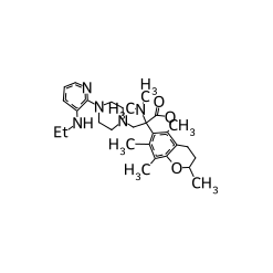 CCNc1cccnc1N1CCN(CC(C([O])=O)(c2c(C)c(C)c3c(c2C)CCC(C)O3)N(C)C)CC1